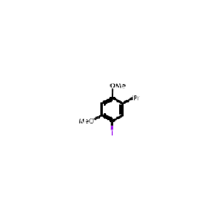 COc1cc(OC)c(C(C)C)cc1I